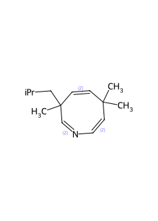 CC(C)CC1(C)/C=C\C(C)(C)/C=C\N=C/1